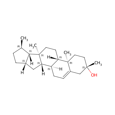 C[C@@H]1CC[C@H]2C[C@H]3[C@@H]4CC=C5C[C@@](C)(O)CC[C@]5(C)[C@H]4CC[C@]3(C)[C@H]21